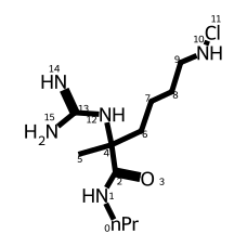 CCCNC(=O)C(C)(CCCCNCl)NC(=N)N